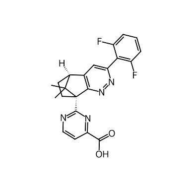 CC1(C)[C@H]2CC[C@]1(c1nccc(C(=O)O)n1)c1nnc(-c3c(F)cccc3F)cc12